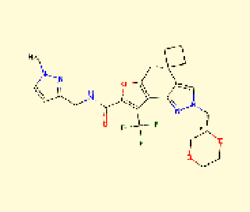 Cn1ccc(CNC(=O)c2oc3c(c2C(F)(F)F)-c2nn(C[C@H]4COCCO4)cc2C2(CCC2)C3)n1